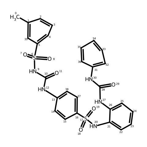 Cc1cccc(S(=O)(=O)NC(=O)Nc2ccc(S(=O)(=O)Nc3ccccc3NC(=O)Nc3ccccc3)cc2)c1